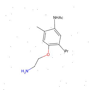 CC(=O)Nc1cc(C(C)C)c(OCCN)cc1C